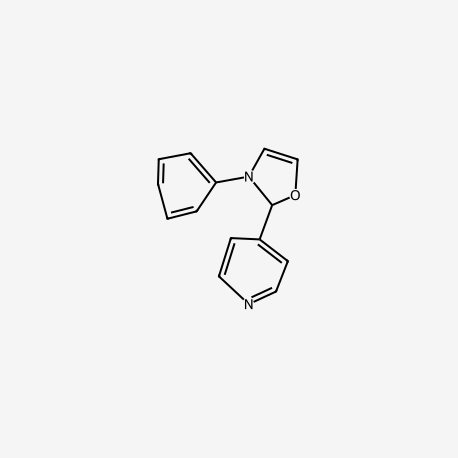 C1=CN(c2ccccc2)C(c2ccncc2)O1